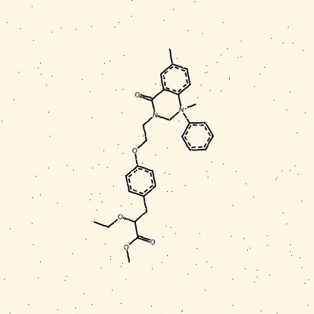 CCOC(Cc1ccc(OCCN2C[N+](C)(c3ccccc3)c3ccc(C)cc3C2=O)cc1)C(=O)OC